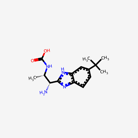 C[C@H](NC(=O)O)[C@@H](N)c1nc2ccc(C(C)(C)C)cc2[nH]1